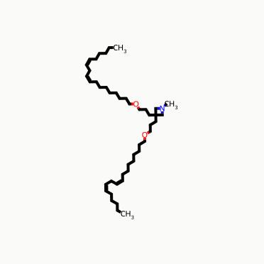 CCCCC/C=C\C/C=C\CCCCCCCCOCCCC1(CCCOCCCCCCCC/C=C\C/C=C\CCCCC)CN(C)C1